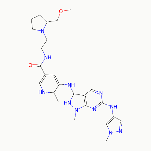 COCC1CCCN1CCNC(=O)C1=CNC(C)C(NC2NN(C)c3nc(Nc4cnn(C)c4)ncc32)=C1